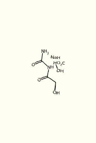 NC(=O)NC(=O)CO.O=C(O)O.[NaH]